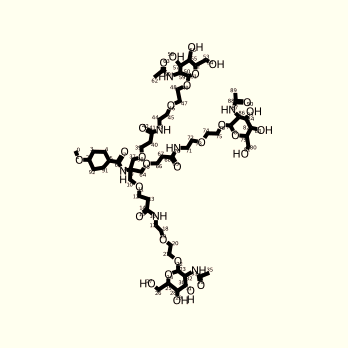 COC1CCC(C(=O)NC(COCCC(=O)NCCOCCOC2OC(CO)C(O)C(O)C2NC(C)=O)(COCCC(=O)NCCOCCOC2OC(CO)C(O)C(O)C2NC(C)=O)COCCC(=O)NCCOCCOC2OC(CO)C(O)C(O)C2NC(C)=O)CC1